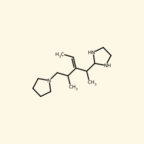 C/C=C(\C(C)CN1CCCC1)C(C)C1NCCN1